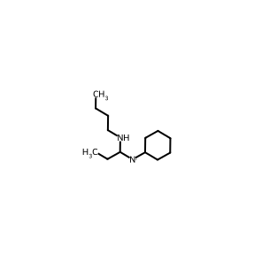 CCCCNC(CC)[N]C1CCCCC1